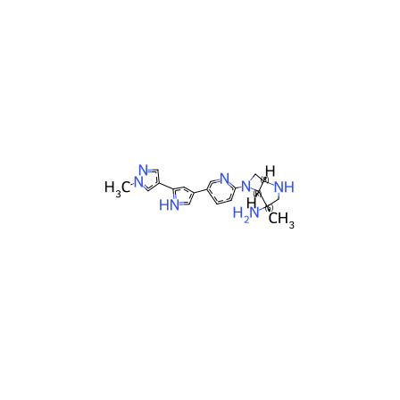 Cn1cc(-c2cc(-c3ccc(N4C[C@@H]5NC[C@](C)(N)[C@@H]54)nc3)c[nH]2)cn1